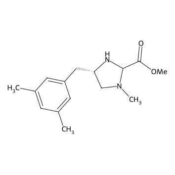 COC(=O)C1N[C@@H](Cc2cc(C)cc(C)c2)CN1C